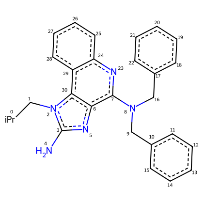 CC(C)Cn1c(N)nc2c(N(Cc3ccccc3)Cc3ccccc3)nc3ccccc3c21